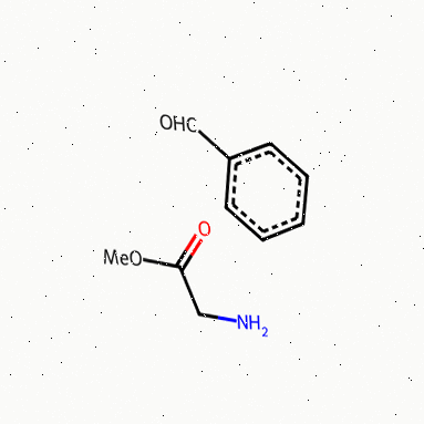 COC(=O)CN.O=Cc1ccccc1